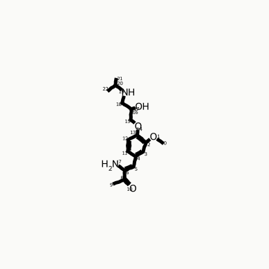 COc1cc(C=C(N)C(C)=O)ccc1OCC(O)CNC(C)C